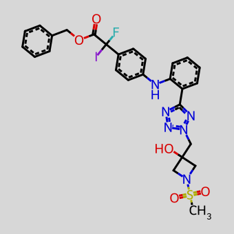 CS(=O)(=O)N1CC(O)(Cn2nnc(-c3ccccc3Nc3ccc(C(F)(I)C(=O)OCc4ccccc4)cc3)n2)C1